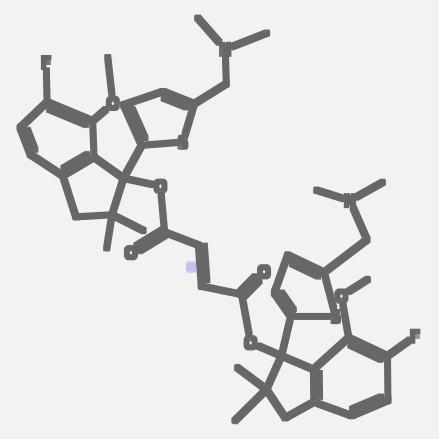 COc1c(F)ccc2c1C(OC(=O)/C=C/C(=O)OC1(c3ccc(CN(C)C)s3)c3c(ccc(F)c3OC)CC1(C)C)(c1ccc(CN(C)C)s1)C(C)(C)C2